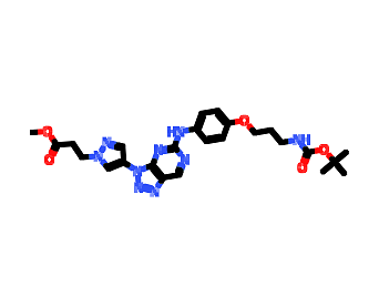 COC(=O)CCn1cc(-n2nnc3cnc(Nc4ccc(OCCCNC(=O)OC(C)(C)C)cc4)nc32)cn1